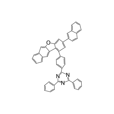 c1ccc(-c2nc(-c3ccccc3)nc(-c3ccc(-c4cc(-c5ccc6ccccc6c5)cc5oc6cc7ccccc7cc6c45)cc3)n2)cc1